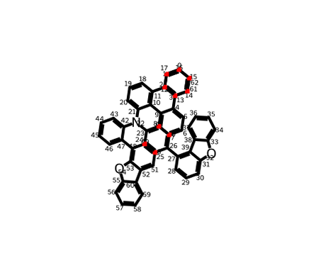 c1ccc(-c2ccccc2-c2c(-c3ccccc3)cccc2N(c2ccc(-c3cccc4oc5ccccc5c34)cc2)c2ccccc2-c2cccc3c2oc2ccccc23)cc1